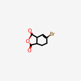 O=C1OC(=O)C2CCC(Br)=CC12